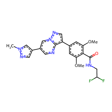 COc1cc(-c2cnn3cc(-c4cnn(C)c4)cnc23)cc(OC)c1C(=O)NCC(F)F